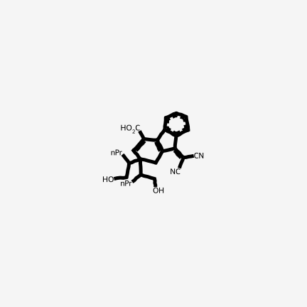 CCCC(CO)C1(C(CO)CCC)C=C(C(=O)O)C2=C(C1)C(=C(C#N)C#N)c1ccccc12